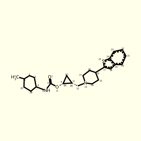 CC1CCC(NC(=O)O[C@@H]2C[C@@H]2CN2CCC(c3cc4ccccc4s3)CC2)CC1